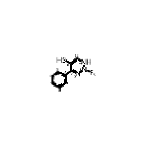 FN1N=C(c2ccccc2)C(S)=[C]N1